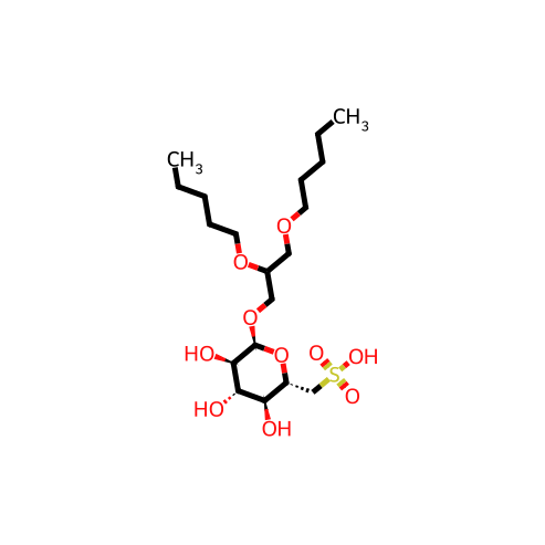 CCCCCOCC(CO[C@H]1O[C@H](CS(=O)(=O)O)[C@@H](O)[C@H](O)[C@H]1O)OCCCCC